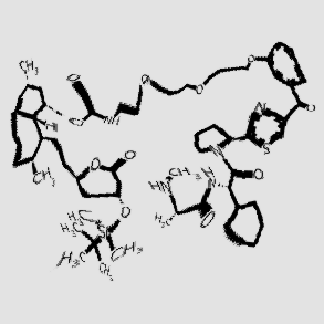 CN[C@@H](C)C(=O)N[C@H](C(=O)N1CCC[C@H]1c1nc(C(=O)c2cccc(OCCOCCOCCNC(=O)O[C@H]3C[C@@H](C)C=C4C=C[C@H](C)[C@H](CC[C@@H]5C[C@@H](O[Si](C)(C)C(C)(C)C)CC(=O)O5)[C@H]43)c2)cs1)C1CCCCC1